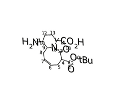 CC(C)(C)OC(=O)C1CC=CCC2C(N)CCC(C(=O)O)N2C1=O